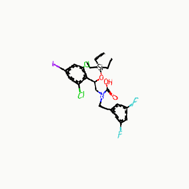 CC[Si](CC)(CC)OC(CN(Cc1cc(F)cc(F)c1)C(=O)O)c1c(Cl)cc(I)cc1Cl